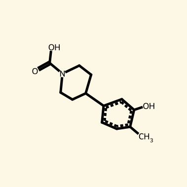 Cc1ccc(C2CCN(C(=O)O)CC2)cc1O